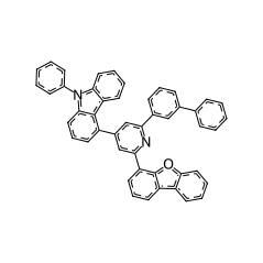 c1ccc(-c2cccc(-c3cc(-c4cccc5c4c4ccccc4n5-c4ccccc4)cc(-c4cccc5c4oc4ccccc45)n3)c2)cc1